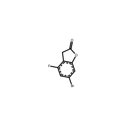 O=C1Cc2c(F)cc(Br)cc2O1